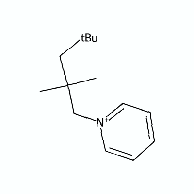 CC(C)(C)CC(C)(C)C[n+]1ccccc1